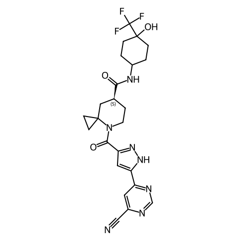 N#Cc1cc(-c2cc(C(=O)N3CC[C@H](C(=O)NC4CCC(O)(C(F)(F)F)CC4)CC34CC4)n[nH]2)ncn1